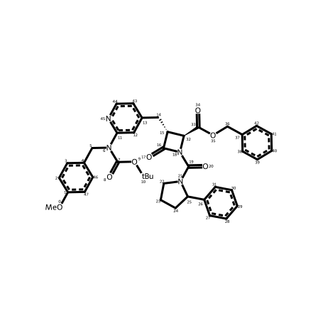 COc1ccc(CN(C(=O)OC(C)(C)C)c2cc(C[C@H]3C(=O)N(C(=O)N4CCCC4c4ccccc4)[C@@H]3C(=O)OCc3ccccc3)ccn2)cc1